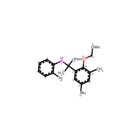 CCCCCC(C)(Pc1ccccc1C(C)=O)c1cc(C(C)(C)C)cc(C)c1OCOC